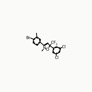 Cc1cc(C2=CC(c3cc(Cl)cc(Cl)c3)(C(F)(F)F)ON2C)ccc1Br